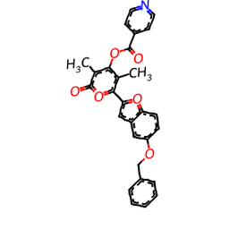 Cc1c(-c2cc3cc(OCc4ccccc4)ccc3o2)oc(=O)c(C)c1OC(=O)c1ccncc1